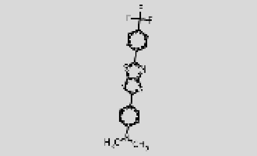 CN(C)c1ccc(-c2nc3sc(-c4ccc(C(F)(F)F)cc4)nc3s2)cc1